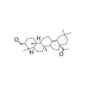 CC(=O)[C@]12CCC(C)(C)CC1=C1CC[C@@H]3[C@@]4(C)CC[C@H](C=O)C(C)(C)[C@@H]4CC[C@@]3(C)[C@]1(C)CC2